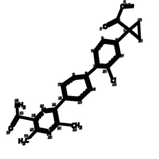 COC(=O)C1(c2ccc(-c3ccc(-c4nc(C(N)=O)c(C)nc4C)cc3)c(Cl)c2)CC1